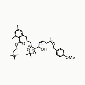 COc1ccc(CO[C@@H](C)C/C=C\C(O)[C@H]2OC(C)(C)O[C@H]2CCCc2cc(C)cc(C)c2C(=O)OCC[Si](C)(C)C)cc1